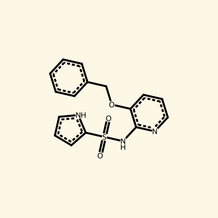 O=S(=O)(Nc1ncccc1OCc1ccccc1)c1ccc[nH]1